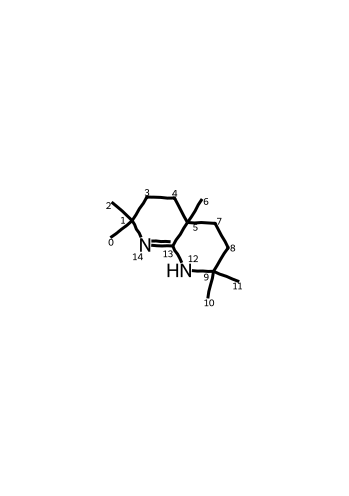 CC1(C)CCC2(C)CCC(C)(C)NC2=N1